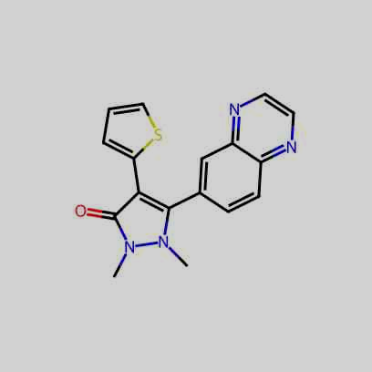 Cn1c(-c2ccc3nccnc3c2)c(-c2cccs2)c(=O)n1C